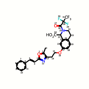 Cc1oc(C=Cc2ccccc2)nc1CCOc1ccc2c(c1)C(C(=O)O)N(C(=O)C(F)(F)C(F)(F)F)CC2